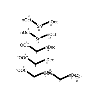 CCCCCCCCCCCC(=O)[O-].CCCCCCCCCCCC(=O)[O-].CCCCCCCCCCCC(=O)[O-].CCCCCCCCCCCC(=O)[O-].CCCCCCC[CH2][Sn][CH2]CCCCCCC.CCCCCCC[CH2][Sn][CH2]CCCCCCC.[O-2]